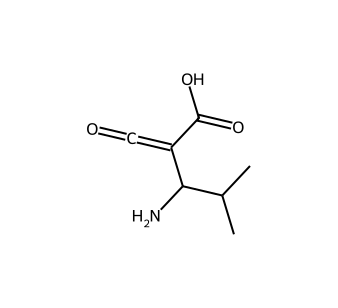 CC(C)C(N)C(=C=O)C(=O)O